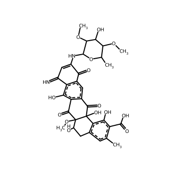 COC1C(C)OC(NC2=CC(=N)c3c(cc4c(c3O)C(=O)C3(OC)C(O)Cc5cc(C)c(C(=O)O)c(O)c5C3(O)C4=O)C2=O)C(OC)C1O